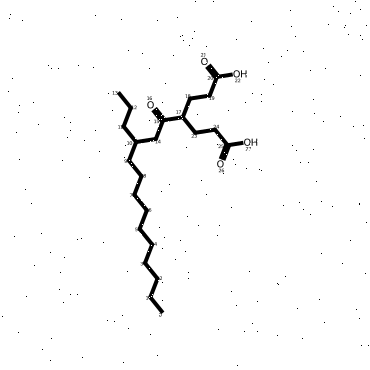 CCCCCCCCCCC(CCC)CC(=O)C(CCC(=O)O)CCC(=O)O